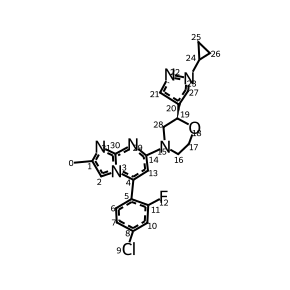 Cc1cn2c(-c3ccc(Cl)cc3F)cc(N3CCO[C@H](c4cnn(C5CC5)c4)C3)nc2n1